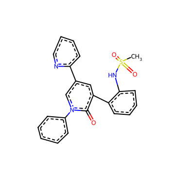 CS(=O)(=O)Nc1ccccc1-c1cc(-c2ccccn2)cn(-c2ccccc2)c1=O